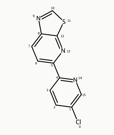 Clc1ccc(-c2ccc3ncsc3n2)nc1